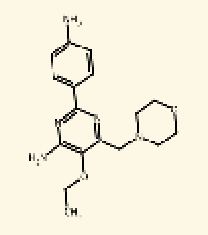 CCOc1c(N)nc(-c2ccc(N)cc2)nc1CN1CCOCC1